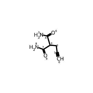 C#CCC(C(N)=O)C(N)=O